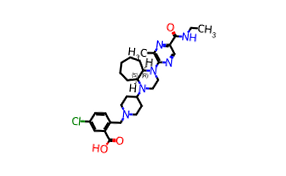 CCNC(=O)c1cnc(N2CCN(C3CCN(Cc4ccc(Cl)cc4C(=O)O)CC3)[C@H]3CCCCC[C@H]32)c(C)n1